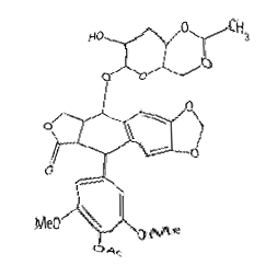 COc1cc(C2c3cc4c(cc3C(OC3OC5COC(C)OC5CC3O)C3COC(=O)C23)OCO4)cc(OC)c1OC(C)=O